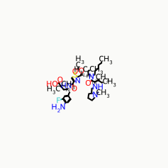 CCCCCCN(C(=O)[C@@H](NCC1CCCCN1C)[C@@H](C)CC)[C@H](C[C@@H](OC(C)=O)c1nc(C(=O)N[C@H](Cc2ccc(N)c(F)c2)CC(C)(C)C(=O)O)cs1)C(C)C